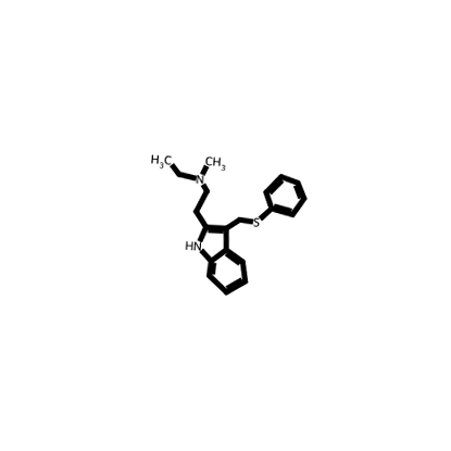 CCN(C)CCc1[nH]c2ccccc2c1CSc1ccccc1